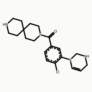 O=C(c1ccc(Cl)c(N2C=CCNC2)c1)N1CCC2(CCNCC2)CC1